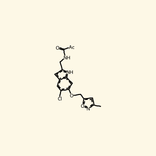 CC(=O)C(=O)NCc1cc2cc(Cl)c(OCc3cc(C)no3)cc2[nH]1